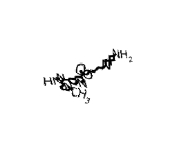 Cc1cccc(-c2[nH]cnc2-c2ccc3ncc(C(=O)OCCCCN4CC5(CC(N)C5)C4)cc3c2)n1